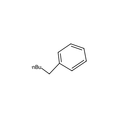 [CH2]CC[CH]Cc1ccccc1